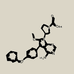 COc1c(-c2ccc(Oc3ccccc3)cc2)c2c(N)ncnc2n1C1CCN(C(=O)O)C1